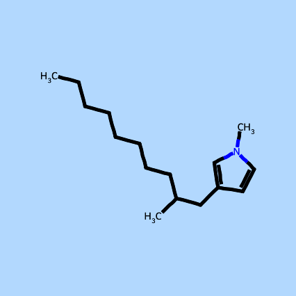 CCCCCCCCC(C)Cc1ccn(C)c1